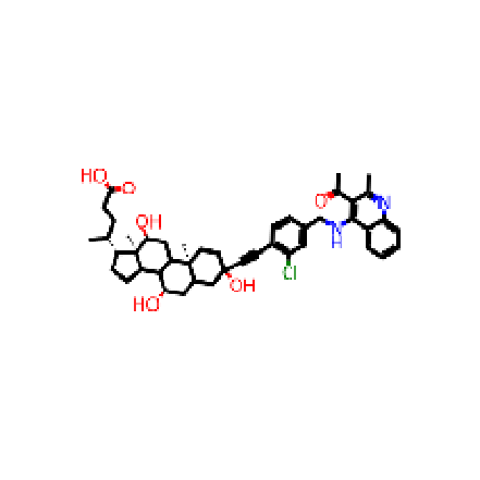 CC(=O)c1c(C)nc2ccccc2c1NCc1ccc(C#C[C@@]2(O)CC[C@@]3(C)C(C[C@@H](O)C4C3C[C@H](O)[C@@]3(C)C4CC[C@@H]3C(C)CCC(=O)O)C2)c(Cl)c1